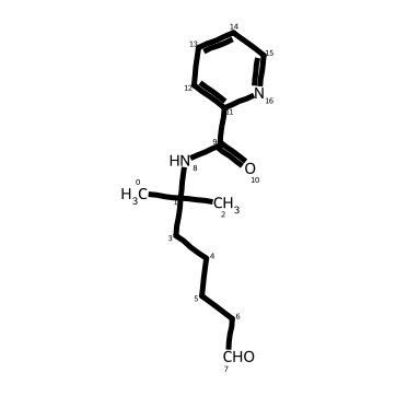 CC(C)(CCCCC=O)NC(=O)c1ccccn1